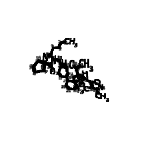 CCCCC1=NC2(CCCC2)C(=O)N1Cc1ccc(C2C=CC=CC2(CCC(C)C)S(=O)(=O)Nc2onc(C)c2C)cc1